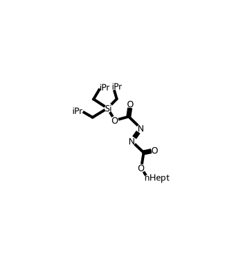 CCCCCCCOC(=O)N=NC(=O)O[Si](CC(C)C)(CC(C)C)CC(C)C